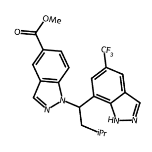 COC(=O)c1ccc2c(cnn2C(CC(C)C)c2cc(C(F)(F)F)cc3cn[nH]c23)c1